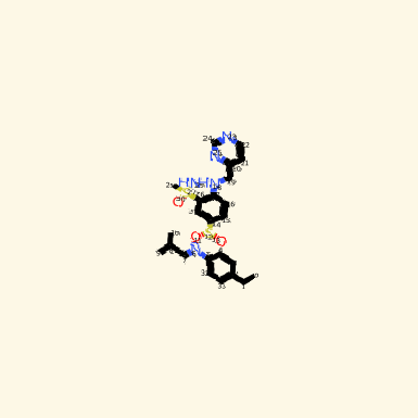 CCc1ccc(N(CC(C)C)OS(=O)c2ccc(NCc3ccncn3)c(S(C)(=N)=O)c2)cc1